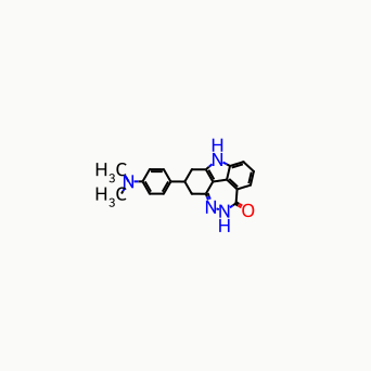 CN(C)c1ccc(C2CC3=NNC(=O)c4cccc5[nH]c(c3c45)C2)cc1